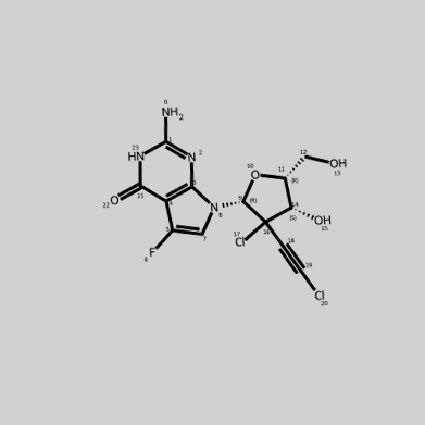 Nc1nc2c(c(F)cn2[C@@H]2O[C@H](CO)[C@H](O)C2(Cl)C#CCl)c(=O)[nH]1